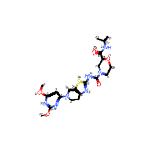 COc1cc(N2CCc3nc(NC(=O)N4CCOC(C(=O)NC(C)C)C4)sc3C2)nc(OC)n1